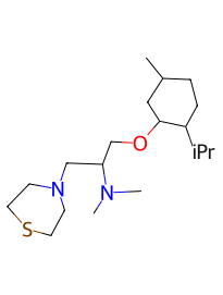 CC1CCC(C(C)C)C(OCC(CN2CCSCC2)N(C)C)C1